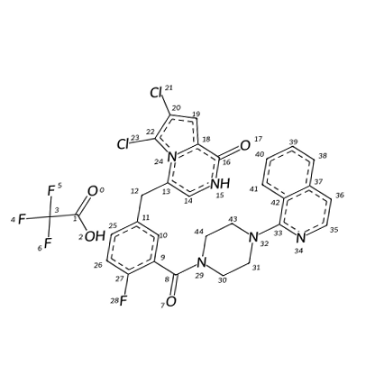 O=C(O)C(F)(F)F.O=C(c1cc(Cc2c[nH]c(=O)c3cc(Cl)c(Cl)n23)ccc1F)N1CCN(c2nccc3ccccc23)CC1